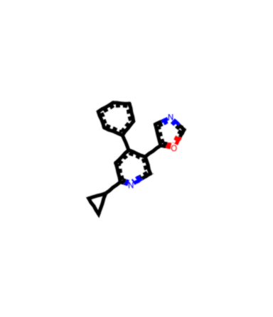 [c]1nc(C2CC2)cc(-c2ccccc2)c1-c1cnco1